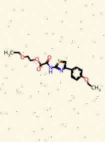 CCOCCOC(=O)C(=O)Nc1nc(-c2ccc(OCC)cc2)cs1